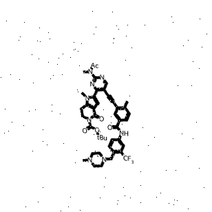 CC(=O)N(C)c1ncc(C#Cc2cc(C(=O)Nc3ccc(CN4CCN(C)CC4)c(C(F)(F)F)c3)ccc2C)c(-c2cc3c(n2C)CCN(C(=O)OC(C)(C)C)C3=O)n1